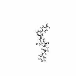 CN(C)c1ccc(-c2ccnc(-n3cc(C(=O)N4CCN(CCc5ccccn5)CC4)c(N)n3)n2)cc1